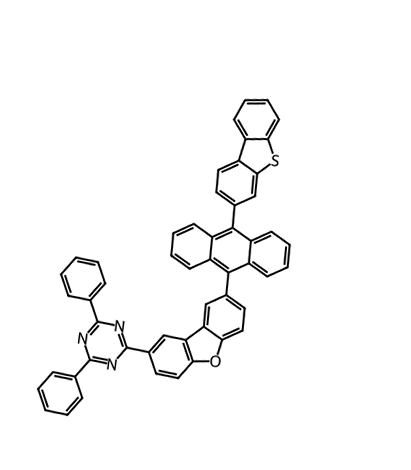 c1ccc(-c2nc(-c3ccccc3)nc(-c3ccc4oc5ccc(-c6c7ccccc7c(-c7ccc8c(c7)sc7ccccc78)c7ccccc67)cc5c4c3)n2)cc1